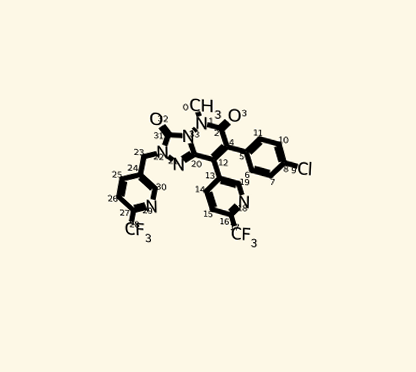 Cn1c(=O)c(-c2ccc(Cl)cc2)c(-c2ccc(C(F)(F)F)nc2)c2nn(Cc3ccc(C(F)(F)F)nc3)c(=O)n21